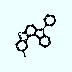 Cc1ccc2oc3ccc4c(c5ccccc5n4-c4ccccc4)c3c2c1